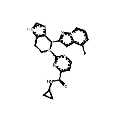 O=C(NC1CC1)c1ccnc(N2CCc3[nH]cnc3[C@H]2c2cc3c(F)cccn3n2)n1